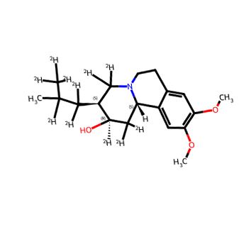 [2H]C1([2H])[C@H](C([2H])([2H])C([2H])(C)C([2H])([2H])[2H])[C@]([2H])(O)C([2H])([2H])[C@H]2c3cc(OC)c(OC)cc3CCN21